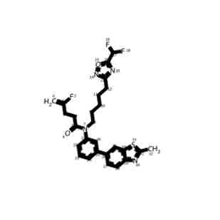 C=C(F)CCC(=O)N(CCCCCc1noc(C(F)F)n1)c1cccc(-c2ccc3nc(C)sc3c2)c1